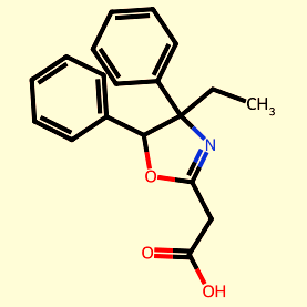 CCC1(c2ccccc2)N=C(CC(=O)O)OC1c1ccccc1